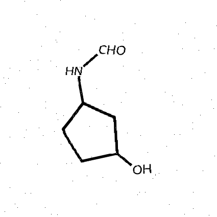 O=CNC1CCC(O)C1